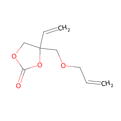 C=CCOCC1(C=C)COC(=O)O1